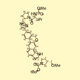 COC[C@H]1C[C@@H](c2nc3ccc4cc5c(cc4c3[nH]2)OCc2cc(-c3cnc([C@@H]4CCCN4C(=O)C(NC(=O)OC)C(C)C)[nH]3)ccc2-5)N(C(=O)OC(C)(C)C)C1